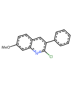 COc1ccc2cc(-c3ccccc3)c(Cl)nc2c1